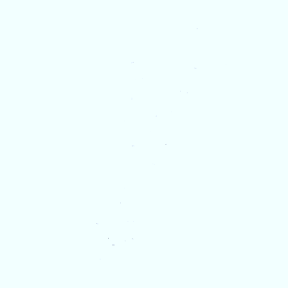 CCC(Oc1ccc(C(CC)(CC)c2ccc3cc(C(=O)N(C)CC(=O)O)ccc3c2)cc1C)C(O)C(C)(C)C